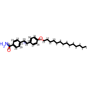 CCCCCCCCCCCCCCOc1ccc(/C=C/c2ccc(C(N)=O)cc2)cc1